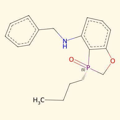 CCCC[P@@]1(=O)COc2cccc(NCc3ccccc3)c21